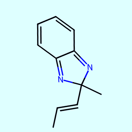 CC=CC1(C)N=c2ccccc2=N1